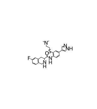 CN(C)CCSc1cc(-c2cn[nH]c2)ccc1NC(=O)C1Cc2cc(F)ccc2CN1